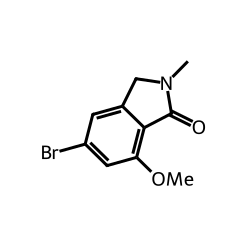 COc1cc(Br)cc2c1C(=O)N(C)C2